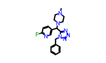 CN1CCN(C(c2ccc(F)nc2)c2nnnn2Cc2ccccc2)CC1